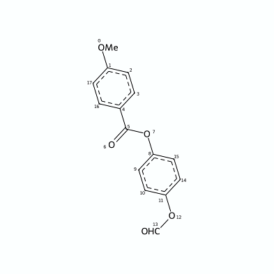 COc1ccc(C(=O)Oc2ccc(OC=O)cc2)cc1